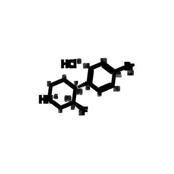 Cl.F[C@H]1CNCC[C@@H]1c1ccc(Br)cc1